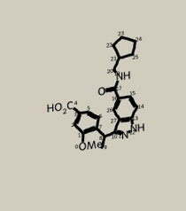 COc1cc(C(=O)O)ccc1C(C)c1n[nH]c2ccc(C(=O)NCC3CCCC3)cc12